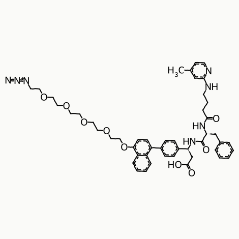 Cc1ccnc(NCCCC(=O)N[C@@H](Cc2ccccc2)C(=O)N[C@@H](CC(=O)O)c2ccc(-c3ccc(OCCOCCOCCOCCOCCN=[N+]=[N-])c4ccccc34)cc2)c1